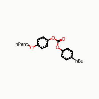 CCCCCOc1ccc(OC(=O)Oc2ccc(CCCC)cc2)cc1